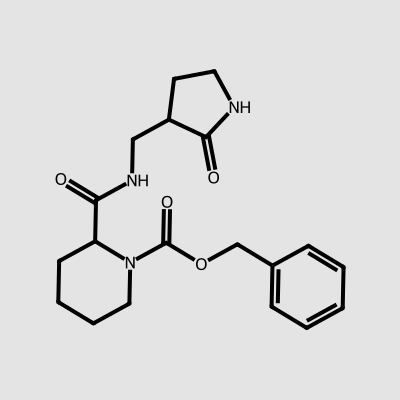 O=C1NCCC1CNC(=O)C1CCCCN1C(=O)OCc1ccccc1